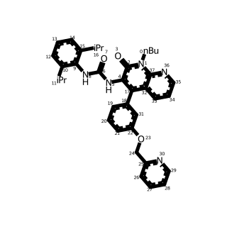 CCCCn1c(=O)c(NC(=O)Nc2c(C(C)C)cccc2C(C)C)c(-c2cccc(OCc3ccccn3)c2)c2cccnc21